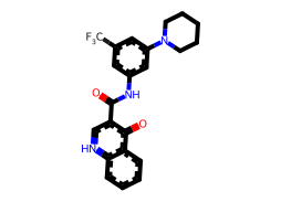 O=C(Nc1cc(N2CCCCC2)cc(C(F)(F)F)c1)c1c[nH]c2ccccc2c1=O